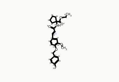 CCOC(=O)C1(NC(=O)/C=C/c2ccc(OCc3ccc(F)cc3)c(OC)c2)CCCC1